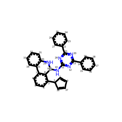 C1=CC(c2cccc3c2B(Nc2nc(-c4ccccc4)nc(-c4ccccc4)n2)Nc2ccccc2-3)C=C1